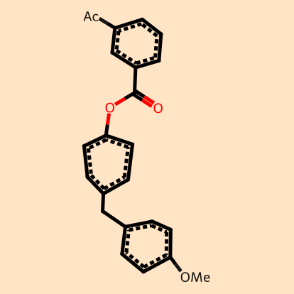 COc1ccc(Cc2ccc(OC(=O)c3cccc(C(C)=O)c3)cc2)cc1